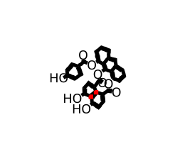 O=C(Oc1cccc2cc3cccc(OC(=O)c4ccc(O)cc4)c3c(OC(=O)c3ccc(O)cc3)c12)c1ccc(O)cc1